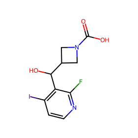 O=C(O)N1CC(C(O)c2c(I)ccnc2F)C1